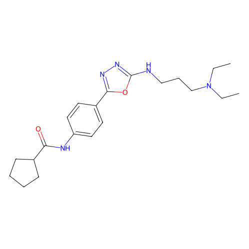 CCN(CC)CCCNc1nnc(-c2ccc(NC(=O)C3CCCC3)cc2)o1